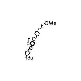 CCCCC1CCC(COc2ccc(OCC3CCC(CCCCCOC)CC3)c(F)c2F)CC1